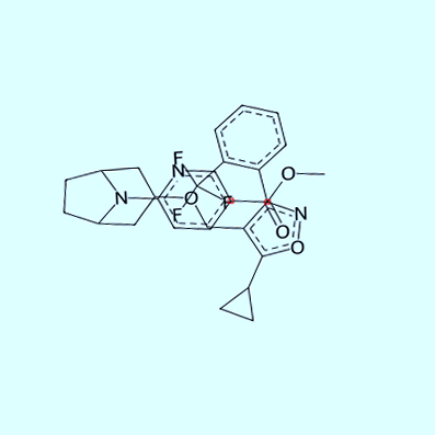 COC(=O)c1ccc(N2C3CCC2CC(OCc2c(-c4ccccc4C(F)(F)F)noc2C2CC2)C3)nc1